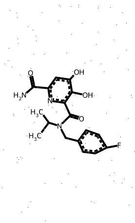 CC(C)N(Cc1ccc(F)cc1)C(=O)c1nc(C(N)=O)cc(O)c1O